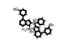 CC(C)(C)c1cccc(-c2cccc3c2C=C2[CH]3[Hf]([CH3])([CH3])[CH]3C(=Cc4c(-c5cccc(C(C)(C)C)c5)cccc43)[Si]2(C)c2ccccc2)c1